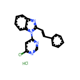 Cl.Clc1cc(-n2c(C=Cc3ccccc3)nc3ccccc32)ncn1